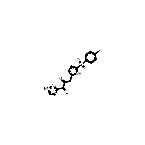 O=C(Cc1ccc(S(=O)(=O)c2ccc(F)cc2)[nH]1)C(=O)c1nc[nH]n1